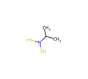 CC(C)N(S)S